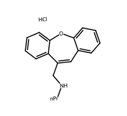 CCCNCC1=Cc2ccccc2Oc2ccccc21.Cl